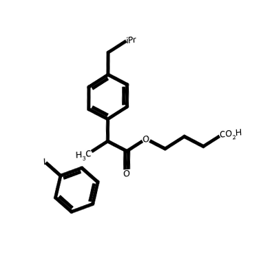 CC(C)Cc1ccc(C(C)C(=O)OCCCC(=O)O)cc1.Ic1ccccc1